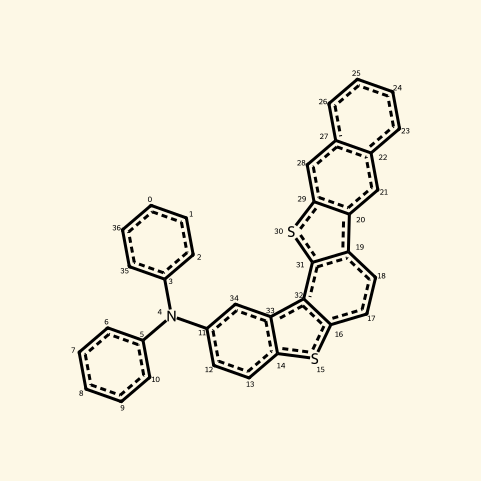 c1ccc(N(c2ccccc2)c2ccc3sc4ccc5c6cc7ccccc7cc6sc5c4c3c2)cc1